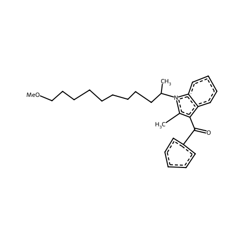 COCCCCCCCCCC(C)n1c(C)c(C(=O)c2ccccc2)c2ccccc21